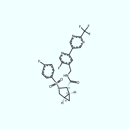 O=C(NCc1cc(-c2cnc(C(F)(F)F)nc2)ncc1F)[C@@H]1[C@H]2C[C@H]2CN1S(=O)(=O)c1ccc(F)cc1